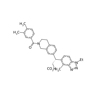 CCn1nnc2c(C)c([C@H](CC(=O)O)c3ccc4c(c3)CN(C(=O)c3ccc(C)c(C)c3)CC4)ccc21